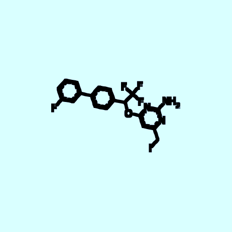 Nc1nc(CI)cc(OC(c2ccc(-c3cccc(F)c3)cc2)C(F)(F)F)n1